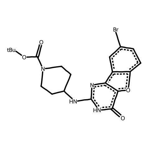 CC(C)(C)OC(=O)N1CCC(Nc2nc3c(oc4ccc(Br)cc43)c(=O)[nH]2)CC1